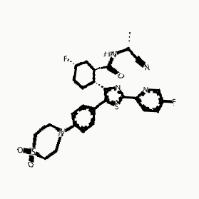 C[C@H](C#N)NC(=O)[C@@H]1C[C@@H](F)CC[C@H]1c1nc(-c2ccc(F)cn2)sc1-c1ccc(N2CCS(=O)(=O)CC2)cc1